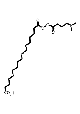 CN(C)CCCC(=O)OOC(=O)CCCCCCCCCCCCCCCC(=O)O